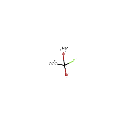 O=C([O-])C(F)(Br)Br.[Na+]